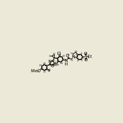 CCS(=O)(=O)c1ccc2c(c1)CCN2CC(=O)Nc1cc(Cl)c(C2(c3noc(-c4ccc(OC)cc4F)n3)CC2)c(Cl)c1